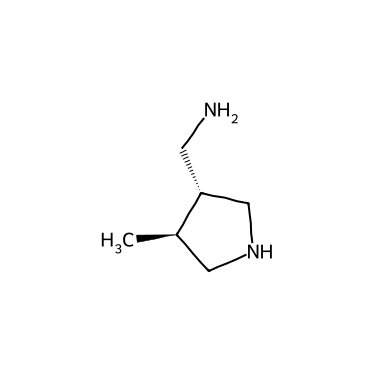 C[C@@H]1CNC[C@H]1CN